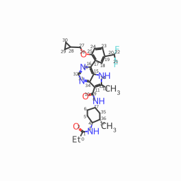 CCC(=O)N[C@H]1CC[C@H](NC(=O)c2c(C)[nH]c3c(-c4cc(C(F)F)ccc4OCC4CC4)ncnc23)C[C@@H]1C